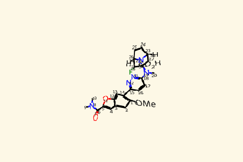 COc1cc2cc(C(=O)N(C)C)oc2cc1-c1ccc(N(C)[C@@H]2C[C@H]3CC[C@@H]([C@@H]2F)N3C(=O)O)nn1